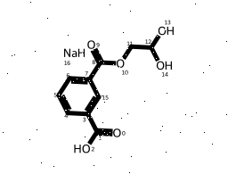 O=C(O)c1cccc(C(=O)OCC(O)O)c1.[NaH]